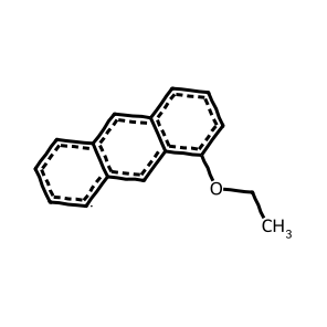 CCOc1cccc2cc3ccc[c]c3cc12